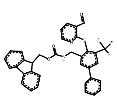 O=Cc1cccnc1Sc1c(CNC(=O)OCC2c3ccccc3-c3ccccc32)cc(-c2ccccc2)cc1C(F)(F)F